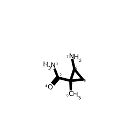 CC1(C(N)=O)CC1N